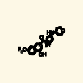 CC(C)[C@]1(C(=O)N2Cc3cc(C(F)(F)F)ccc3C(O)C2)CC[C@@H](NC2CCOCC2)C1